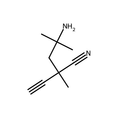 C#CC(C)(C#N)CC(C)(C)N